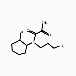 C=C(C)C(=O)N(CCCC)C1CCCCC1O